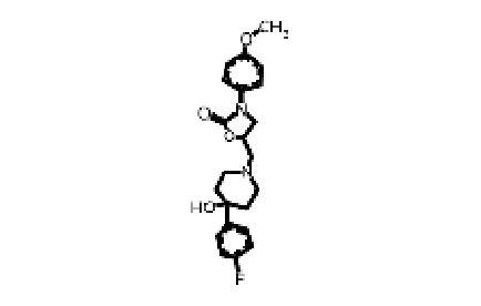 COc1ccc(N2CC(CN3CCC(O)(c4ccc(F)cc4)CC3)OC2=O)cc1